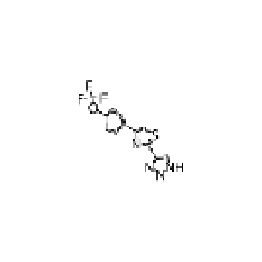 FC(F)(F)Oc1ccc(-c2csc(-c3c[nH]nn3)n2)cc1